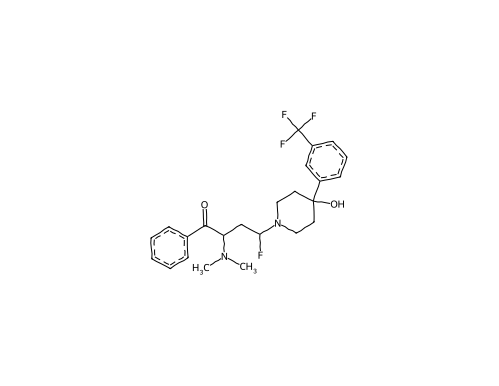 CN(C)C(CC(F)N1CCC(O)(c2cccc(C(F)(F)F)c2)CC1)C(=O)c1ccccc1